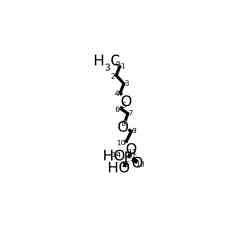 CCCCCOCCOCCOP(=O)(O)O